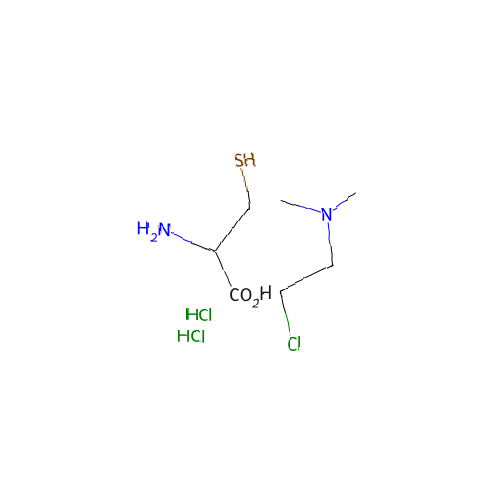 CN(C)CCCl.Cl.Cl.NC(CS)C(=O)O